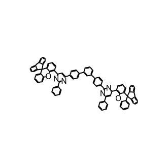 c1ccc(-c2cc(-c3cccc4c3Oc3ccccc3C43c4ccccc4-c4ccccc43)nc(-c3ccc(-c4cccc(-c5ccc(-c6cc(-c7cccc8c7Oc7ccccc7C87c8ccccc8-c8ccccc87)nc(-c7ccccc7)n6)cc5)c4)cc3)n2)cc1